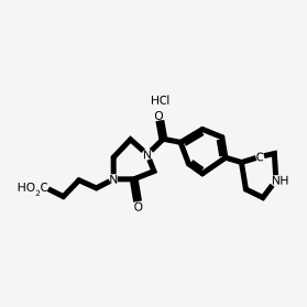 Cl.O=C(O)CCCN1CCN(C(=O)c2ccc(C3CCNCC3)cc2)CC1=O